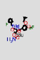 CC(C)(C)C(C)(OC(N)=O)c1oc(-c2ccc(OC(F)F)c(OCC3CC3)c2)nc1C(=O)NCc1ccccc1F